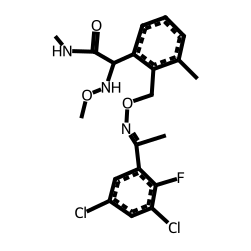 CNC(=O)C(NOC)c1cccc(C)c1CO/N=C(\C)c1cc(Cl)cc(Cl)c1F